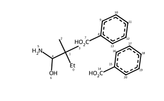 CCC(C)(C)C(N)O.O=C(O)c1ccccc1.O=C(O)c1ccccc1